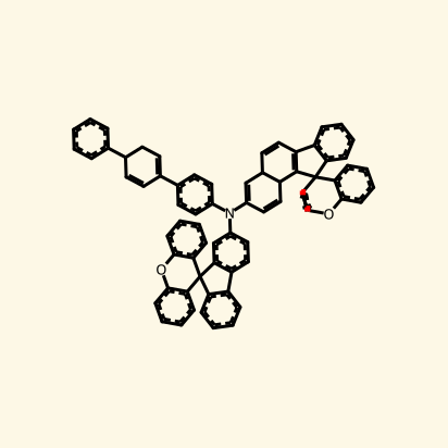 C1=CC(c2ccccc2)CC=C1c1ccc(N(C2=CC3C=CC4=C(C3C=C2)C2(c3ccccc3Oc3ccccc32)c2ccccc24)c2ccc3c(c2)C2(c4ccccc4Oc4ccccc42)c2ccccc2-3)cc1